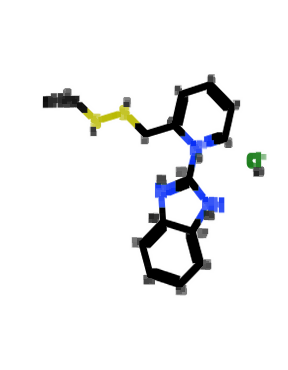 CCCCCCSSCc1cccc[n+]1-c1nc2ccccc2[nH]1.[Cl-]